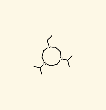 CCN1CCN(C(C)C)CCN(C(C)C)CC1